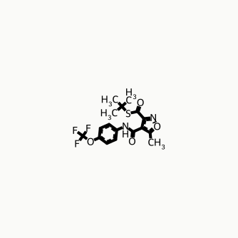 Cc1onc(C(=O)SC(C)(C)C)c1C(=O)Nc1ccc(OC(F)(F)F)cc1